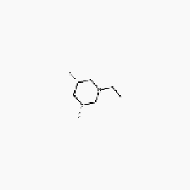 CCN1C[C@H](C)C[C@H](C)C1